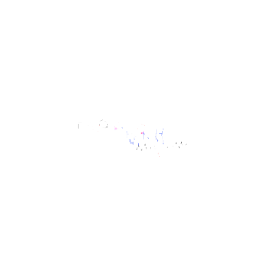 COc1nc(NCC2CCC[C@@H](c3ccc(OC(F)(F)F)cc3)O2)cc(C(=O)N2CCC(N[C@@H]3CCOC[C@@H]3OC)CC2)n1